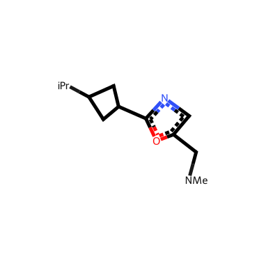 CNCc1cnc(C2CC(C(C)C)C2)o1